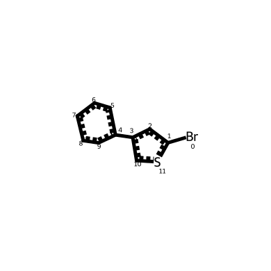 Brc1cc(-c2ccccc2)cs1